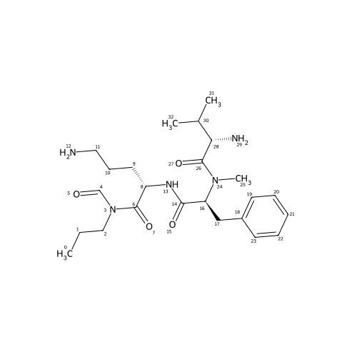 CCCN(C=O)C(=O)[C@H](CCCN)NC(=O)[C@H](Cc1ccccc1)N(C)C(=O)[C@@H](N)C(C)C